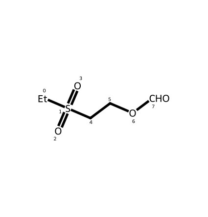 CCS(=O)(=O)CCOC=O